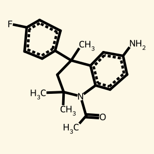 CC(=O)N1c2ccc(N)cc2C(C)(c2ccc(F)cc2)CC1(C)C